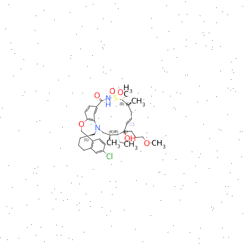 CC[C@@H]1[C@@H](C)CN2C[C@@]3(CCCc4cc(Cl)ccc43)COc3ccc(cc32)C(=O)NS(=O)(=O)[C@H](C)[C@@H](C)C/C=C/[C@]1(O)CCCOC